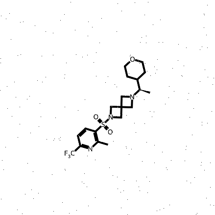 Cc1nc(C(F)(F)F)ccc1S(=O)(=O)N1CC2(CN([C@H](C)C3CCOCC3)C2)C1